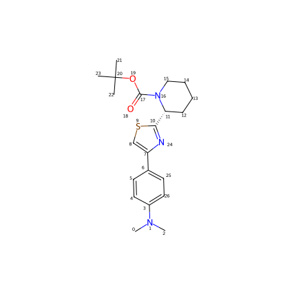 CN(C)c1ccc(-c2csc([C@H]3CCCCN3C(=O)OC(C)(C)C)n2)cc1